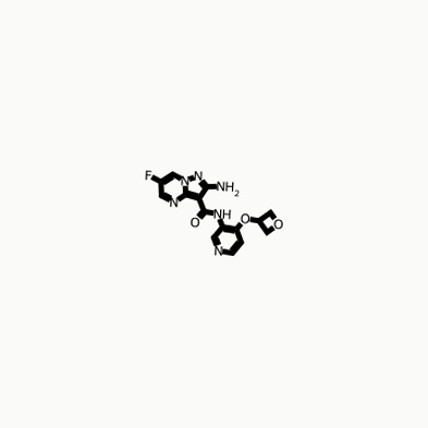 Nc1nn2cc(F)cnc2c1C(=O)Nc1cnccc1OC1COC1